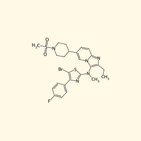 CCc1nc2ccc(C3CCN(S(C)(=O)=O)CC3)cn2c1N(C)c1nc(-c2ccc(F)cc2)c(Br)s1